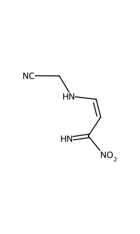 N#CCN/C=C\C(=N)[N+](=O)[O-]